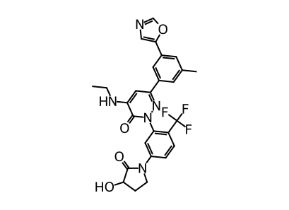 CCNc1cc(-c2cc(C)cc(-c3cnco3)c2)nn(-c2cc(N3CCC(O)C3=O)ccc2C(F)(F)F)c1=O